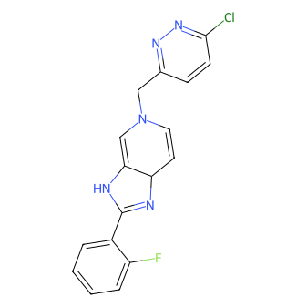 Fc1ccccc1C1=NC2C=CN(Cc3ccc(Cl)nn3)C=C2N1